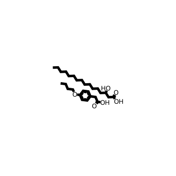 CCCCCCCCCCCCCC(O)CC(=O)O.CCCCOc1ccc(CC(=O)O)cc1